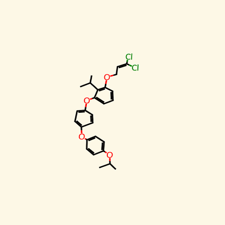 CC(C)Oc1ccc(Oc2ccc(Oc3cccc(OCC=C(Cl)Cl)c3C(C)C)cc2)cc1